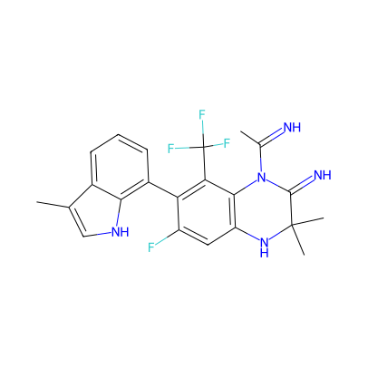 CC(=N)N1C(=N)C(C)(C)Nc2cc(F)c(-c3cccc4c(C)c[nH]c34)c(C(F)(F)F)c21